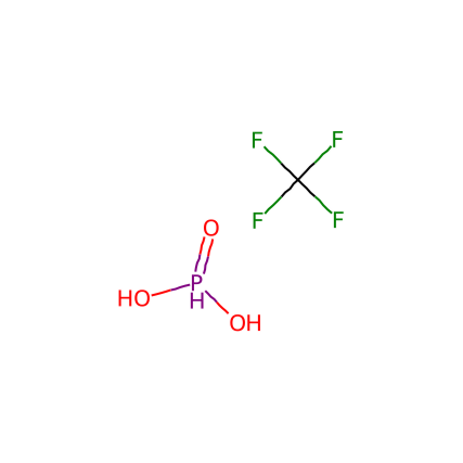 FC(F)(F)F.O=[PH](O)O